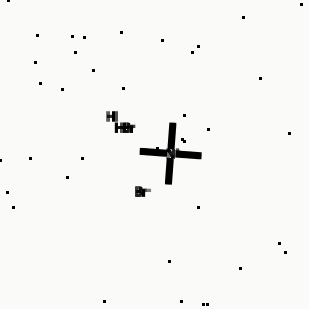 Br.C[N+](C)(C)C.I.[Br-]